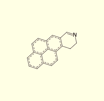 C1=NCCc2c1cc1ccc3cccc4ccc2c1c34